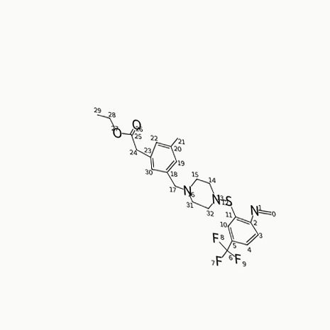 C=Nc1ccc(C(F)(F)F)cc1SN1CCN(Cc2cc(C)cc(CC(=O)OCC)c2)CC1